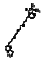 CCc1nccc(CCCOCCOCCOCCCc2ccnc(C(C)(C)C)n2)n1